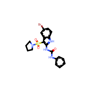 O=C(Nc1ccccc1)Nc1[nH]c2ccc(Br)cc2c1S(=O)(=O)N1CCCC1